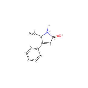 COC1C(c2ccccc2)=CC(=O)N1C